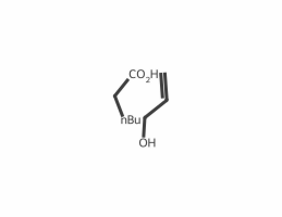 C=CCO.CCCCCC(=O)O